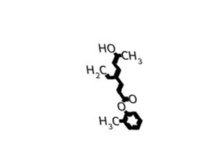 C=CC(/C=C/C(=O)Oc1ccccc1C)=C\C=C(/C)O